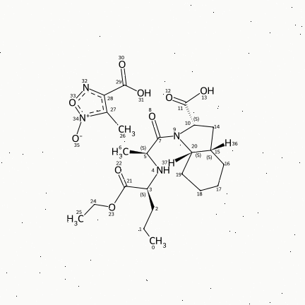 CCC[C@H](N[C@@H](C)C(=O)N1[C@H](C(=O)O)C[C@@H]2CCCC[C@@H]21)C(=O)OCC.Cc1c(C(=O)O)no[n+]1[O-]